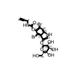 C#CCNC(=O)Oc1c(Br)cc2[nH]cc(O[C@@H]3O[C@H](CO)[C@@H](O)[C@H](O)[C@H]3O)c2c1Br